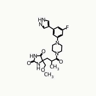 COCC1(CC(C)C(=O)N2CCN(c3cc(F)cc(-c4cn[nH]c4)c3)CC2)NC(=O)NC1=O